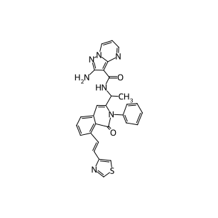 CC(NC(=O)c1c(N)nn2cccnc12)c1cc2cccc(/C=C/c3cscn3)c2c(=O)n1-c1ccccc1